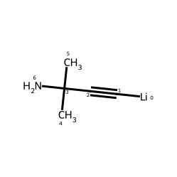 [Li][C]#CC(C)(C)N